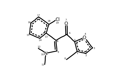 Cc1ccoc1C(=O)C(=CN(C)C)c1ccccc1Cl